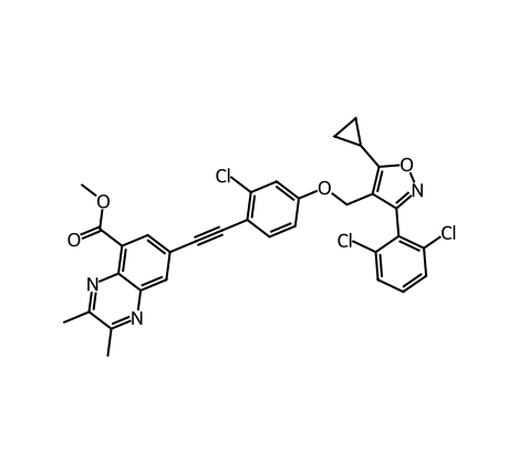 COC(=O)c1cc(C#Cc2ccc(OCc3c(-c4c(Cl)cccc4Cl)noc3C3CC3)cc2Cl)cc2nc(C)c(C)nc12